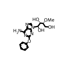 CO[C@H](CO)[C@@H](O)[C@@H](O)n1cnc2c(N)nc(Oc3ccccc3)nc21